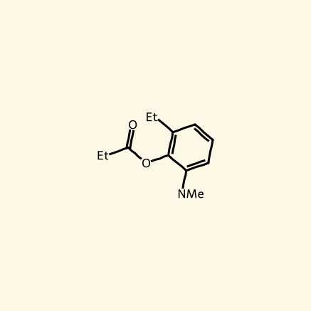 CCC(=O)Oc1c(CC)cccc1NC